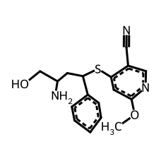 COc1cc(SC(CC(N)CO)c2ccccc2)c(C#N)cn1